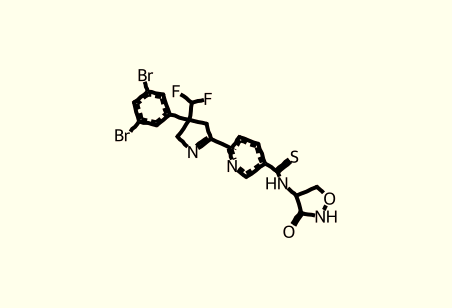 O=C1NOCC1NC(=S)c1ccc(C2=NCC(c3cc(Br)cc(Br)c3)(C(F)F)C2)nc1